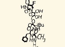 CC[C@H](C)[C@H](NC(=O)[C@H](Cc1ccccc1)NC(=O)[C@H](C)N)C(=O)OC[C@H]1O[C@@H](n2cc(F)c(=O)[nH]c2=O)[C@H](O)[C@@H]1O